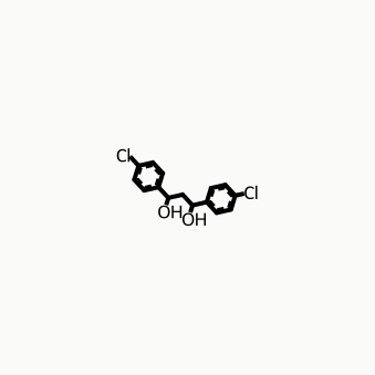 OC(CC(O)c1ccc(Cl)cc1)c1ccc(Cl)cc1